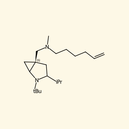 C=CCCCCN(C)C[C@@]12CC(C(C)C)N(C(C)(C)C)C1C2